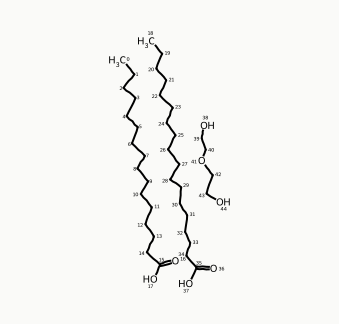 CCCCCCCCCCCCCCCC(=O)O.CCCCCCCCCCCCCCCCCC(=O)O.OCCOCCO